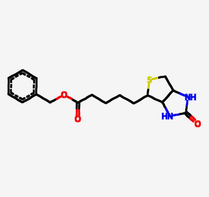 O=C1NC2CSC(CCCCC(=O)OCc3ccccc3)C2N1